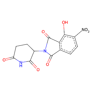 O=C1CCC(N2C(=O)c3ccc([N+](=O)[O-])c(O)c3C2=O)C(=O)N1